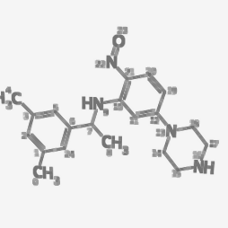 Cc1cc(C)cc(C(C)Nc2cc(N3CCNCC3)ccc2N=O)c1